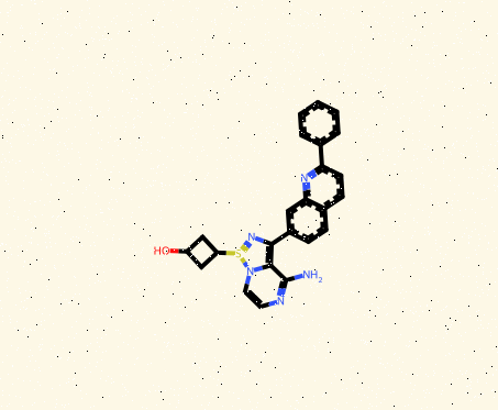 NC1=NC=CN2C1=C(c1ccc3ccc(-c4ccccc4)nc3c1)N=S2C1CC(O)C1